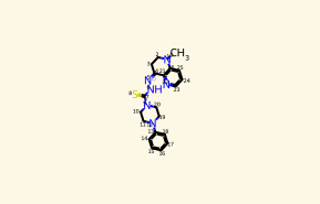 CN1CC/C(=N/NC(=S)N2CCN(c3ccccc3)CC2)c2ncccc21